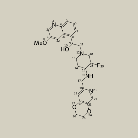 COc1cnc2cccc(C(O)CN3CCC(NCc4cc5c(cn4)OCCO5)C(F)C3)c2c1